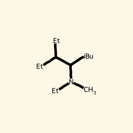 CCC(C)C(C(CC)CC)N(C)CC